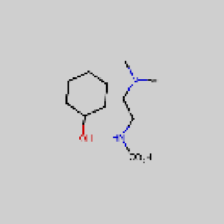 CN(C)CCNC(=O)O.OC1CCCCC1